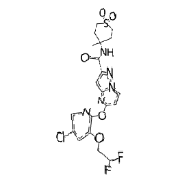 CC1(NC(=O)c2cc3nc(Oc4ncc(Cl)cc4OCC(F)F)ccn3n2)CCS(=O)(=O)CC1